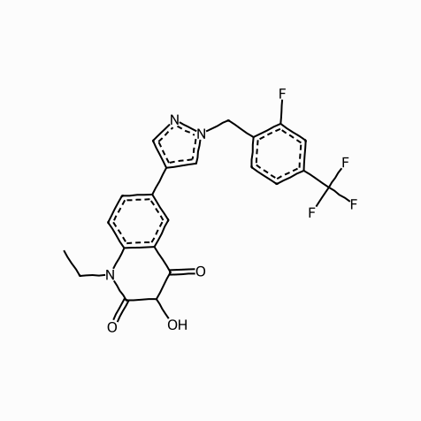 CCN1C(=O)C(O)C(=O)c2cc(-c3cnn(Cc4ccc(C(F)(F)F)cc4F)c3)ccc21